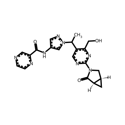 CC(c1cnc(N2C[C@H]3C[C@H]3C2=O)nc1CO)n1cc(NC(=O)c2cnccn2)cn1